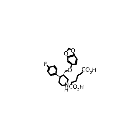 Fc1ccc([C@@H]2CCNC[C@H]2COc2ccc3c(c2)OCO3)cc1.O=C(O)CCCCC(=O)O